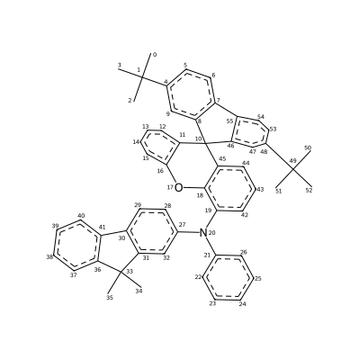 CC(C)(C)c1ccc2c(c1)C1(c3ccccc3Oc3c(N(c4ccccc4)c4ccc5c(c4)C(C)(C)c4ccccc4-5)cccc31)c1cc(C(C)(C)C)ccc1-2